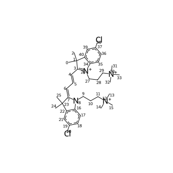 CC1(C)C(/C=C/C=C2\N(CCC[N+](C)(C)C)c3ccc(Cl)cc3C2(C)C)=[N+](CCC[N+](C)(C)C)c2ccc(Cl)cc21